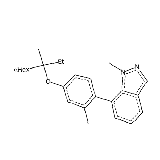 CCCCCCC(C)(CC)Oc1ccc(-c2cccc3cnn(C)c23)c(C)c1